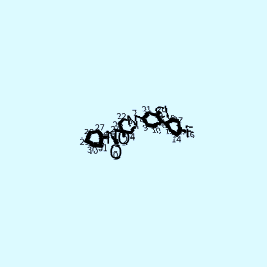 O=C1OC2(CCN(Cc3ccc(-c4ccc(F)cc4)c(Cl)c3)CC2)CN1c1ccccc1